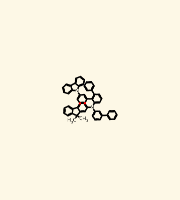 CC1(C)c2ccccc2-c2ccc(N(c3cccc(-c4ccccc4)c3)c3cccc(-c4ccccc4)c3-c3cccc(-n4c5ccccc5c5ccccc54)c3)cc21